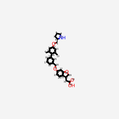 Cc1cc(OC[C@H]2CCCN2)cc(C)c1-c1cccc(COc2ccc3c(c2)OCC3CC(=O)O)c1